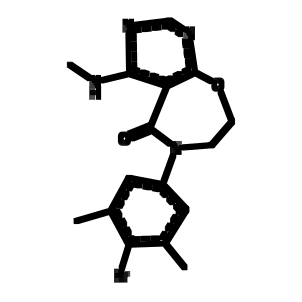 CNc1ncnc2c1C(=O)N(c1cc(C)c(Br)c(C)c1)CCO2